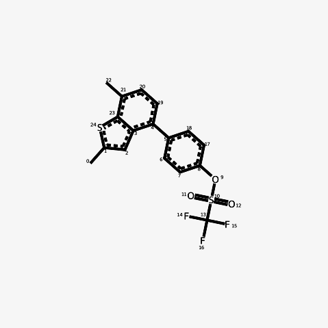 Cc1cc2c(-c3ccc(OS(=O)(=O)C(F)(F)F)cc3)ccc(C)c2s1